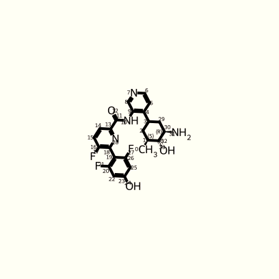 C[C@H]1CC(c2ccncc2NC(=O)c2ccc(F)c(-c3c(F)cc(O)cc3F)n2)C[C@@H](N)[C@@H]1O